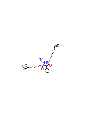 CCCCCCCC/C=C\CCCCCCCC(=O)N(CCN(C)C)C(C(=O)NCCCCCCCCCCCCCCCCCC)C1CCCCC1